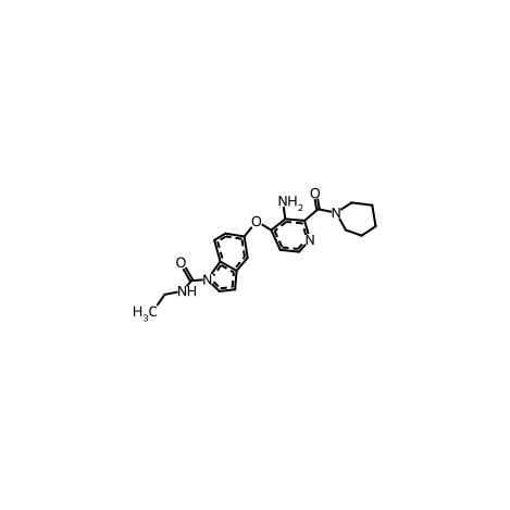 CCNC(=O)n1ccc2cc(Oc3ccnc(C(=O)N4CCCCC4)c3N)ccc21